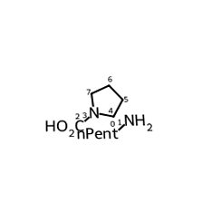 CCCCCN.O=C(O)N1CCCC1